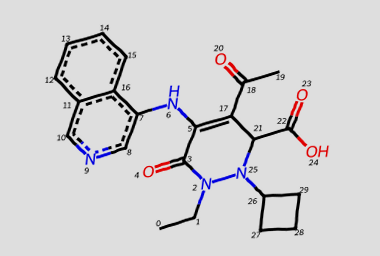 CCN1C(=O)C(Nc2cncc3ccccc23)=C(C(C)=O)C(C(=O)O)N1C1CCC1